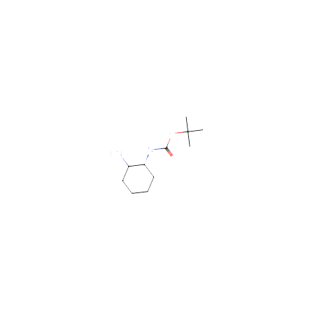 CC(C)(C)OC(=O)N[C@H]1CCCCC1N